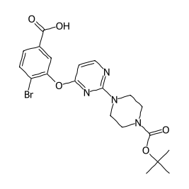 CC(C)(C)OC(=O)N1CCN(c2nccc(Oc3cc(C(=O)O)ccc3Br)n2)CC1